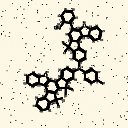 Cc1ccc(N(c2ccc3c(c2)C(C)(C)c2cc(-c4ccccc4C(C)(C)C)c4oc5ccccc5c4c2-3)c2ccc3c(c2)C(C)(C)c2c4c(c5c(oc6ccccc65)c2-3)-c2ccccc2C4(C)C)cc1